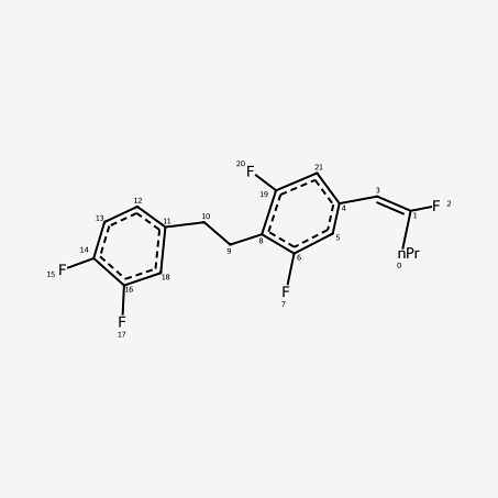 CCC/C(F)=C\c1cc(F)c(CCc2ccc(F)c(F)c2)c(F)c1